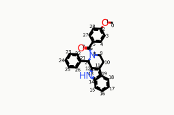 COc1ccc(C(=O)N2CCc3c([nH]c4ccccc34)C2c2ccccc2)cc1